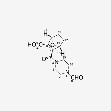 O=CN1CCN(C(=O)[C@H]2[C@@H](C(=O)O)[C@@H]3CC[C@H]2O3)CC1